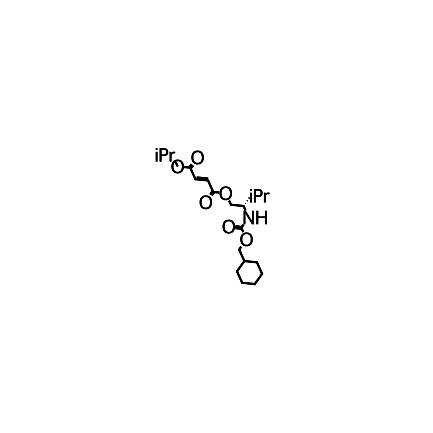 CC(C)OC(=O)/C=C/C(=O)OC[C@@H](NC(=O)OCC1CCCCC1)C(C)C